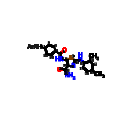 CC(=O)Nc1ccc(C(=O)Nc2sc(Nc3ccc(C)cc3C)nc2C(N)=O)cc1